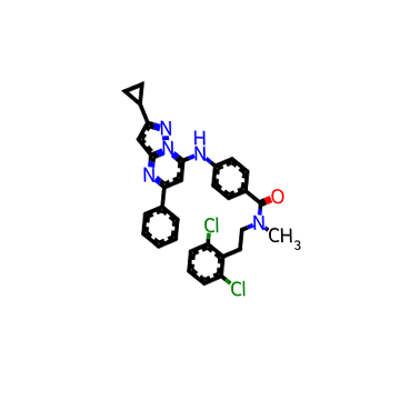 CN(CCc1c(Cl)cccc1Cl)C(=O)c1ccc(Nc2cc(-c3ccccc3)nc3cc(C4CC4)nn23)cc1